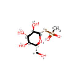 CS(=O)(=O)S[C@@H]1O[C@H](CO)[C@@H](O)[C@H](O)[C@H]1O